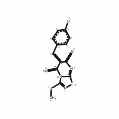 CSC1=NSC2=NC(=O)/C(=C\c3ccc(Cl)cc3)C(=N)N12